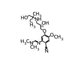 COc1cc(C#N)c(N=CN(C)C)cc1OC[C@@H](O)CNC(C)(C)CO